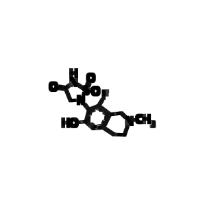 CN1CCc2cc(O)c(N3CC(=O)NS3(=O)=O)c(F)c2C1